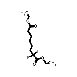 CCOC(=O)CCCCCC(F)(F)C(=O)OCC